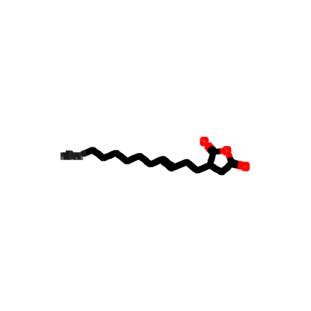 CCCCCCCCCCCCCCCCC=CCCC1CC(=O)OC1=O